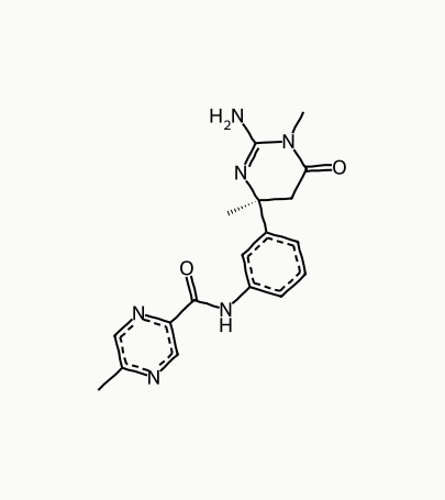 Cc1cnc(C(=O)Nc2cccc([C@]3(C)CC(=O)N(C)C(N)=N3)c2)cn1